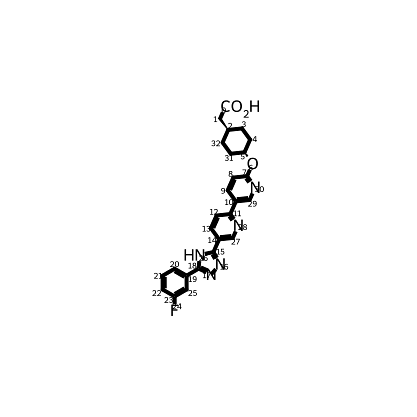 O=C(O)C[C@H]1CC[C@H](Oc2ccc(-c3ccc(-c4nnc(-c5cccc(F)c5)[nH]4)cn3)cn2)CC1